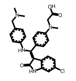 CN(C)Cc1ccc(N/C(=C2\C(=O)Nc3cc(Cl)ccc32)c2ccc(N(C)CC(=O)O)cc2)cc1